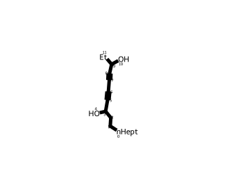 CCCCCCCCCC(O)C#CC#CC(O)CC